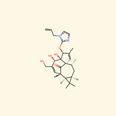 C=CCn1ccnc1O[C@H]1C(C)=C[C@]23C(=O)[C@@H](C=C(CO)[C@@H](O)[C@]12O)[C@H]1[C@@H](C[C@H]3C)C1(C)C